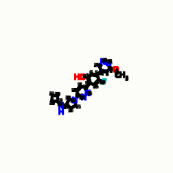 COc1cc(-c2cc(O)c(-c3ccc(N4CC[C@@H](NC5CCC5)C4)nn3)cc2F)cnn1